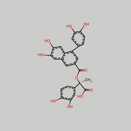 C[C@](OC(=O)c1cc(-c2ccc(O)c(O)c2)c2cc(O)c(O)cc2c1)(C(=O)O)c1ccc(O)c(O)c1